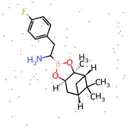 CC1(C)[C@@H]2C[C@H]3OB(C(N)Cc4ccc(F)cc4)O[C@@]3(C)[C@H]1C2